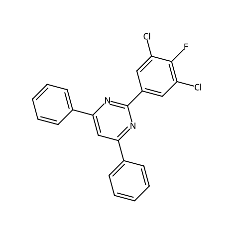 Fc1c(Cl)cc(-c2nc(-c3ccccc3)cc(-c3ccccc3)n2)cc1Cl